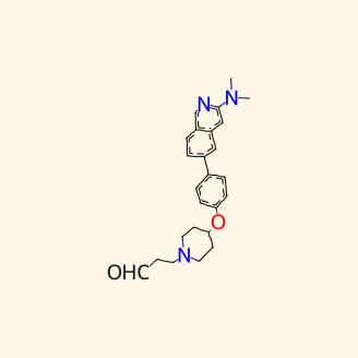 CN(C)c1cc2cc(-c3ccc(OC4CCN(CCC=O)CC4)cc3)ccc2cn1